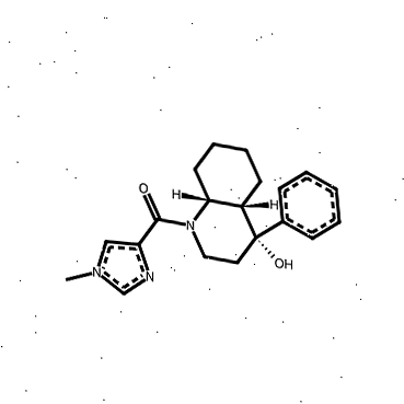 Cn1cnc(C(=O)N2CC[C@](O)(c3ccccc3)[C@H]3CCCC[C@H]32)c1